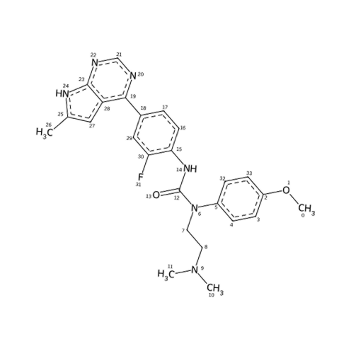 COc1ccc(N(CCN(C)C)C(=O)Nc2ccc(-c3ncnc4[nH]c(C)cc34)cc2F)cc1